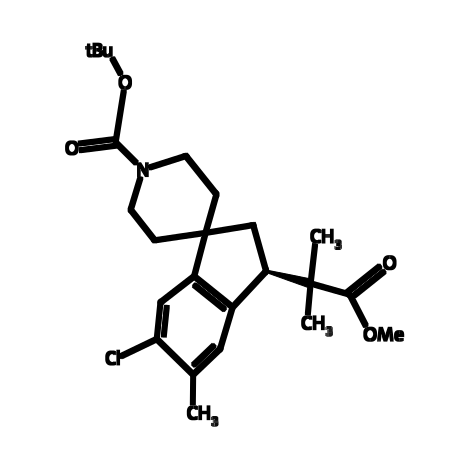 COC(=O)C(C)(C)[C@@H]1CC2(CCN(C(=O)OC(C)(C)C)CC2)c2cc(Cl)c(C)cc21